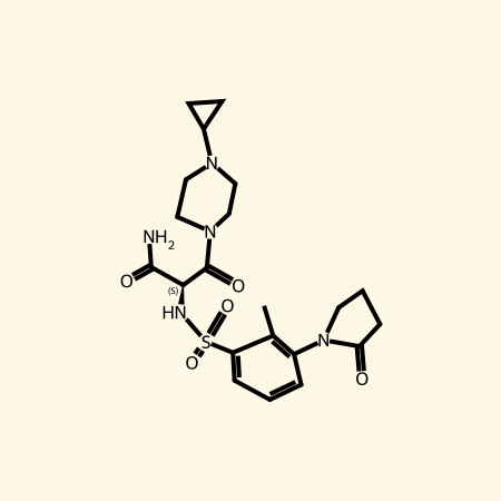 Cc1c(N2CCCC2=O)cccc1S(=O)(=O)N[C@@H](C(N)=O)C(=O)N1CCN(C2CC2)CC1